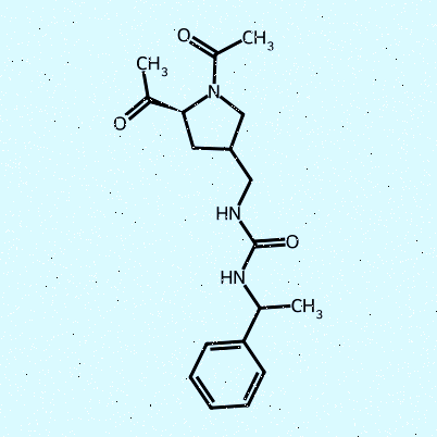 CC(=O)[C@@H]1CC(CNC(=O)NC(C)c2ccccc2)CN1C(C)=O